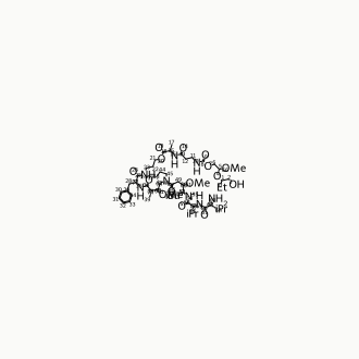 CCC(CO)OC(COC(=O)NCCC(=O)NC(C)C(=O)OCCCNC(=O)[C@H](Cc1ccccc1)NC(=O)[C@H](C)[C@@H](OC)[C@@H]1CCCN1C(=O)C[C@@H](OC)[C@H]([C@@H](C)CC)N(C)C(=O)[C@@H](NC(=O)[C@@H](N)C(C)C)C(C)C)OC